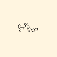 O=C(NC(CO)c1ccc2ccccc2c1)C1CC1c1ccccc1Cl